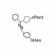 CCCCCCc1ccc(C=NN=C(c2ccccc2)C2CCC(CCCCC)CC2)cc1